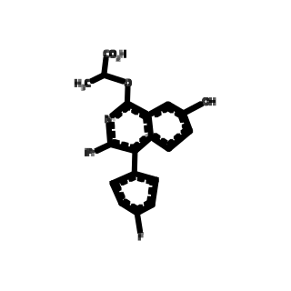 CC(Oc1nc(C(C)C)c(-c2ccc(F)cc2)c2ccc(O)cc12)C(=O)O